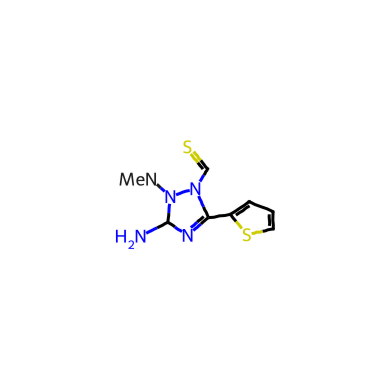 CNN1C(N)N=C(c2cccs2)N1C=S